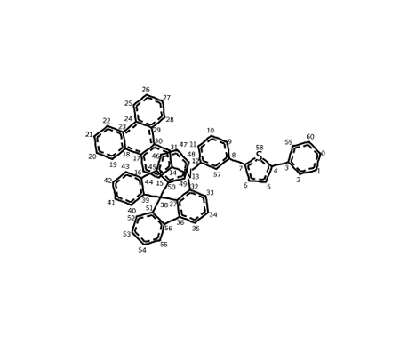 c1ccc(-c2ccc(-c3cccc(N(c4ccc5c6ccccc6c6ccccc6c5c4)c4cccc5c4C4(c6ccccc6-c6ccccc64)c4ccccc4-5)c3)s2)cc1